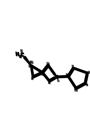 C[C@@H]1CC12CN(C1CCCC1)C2